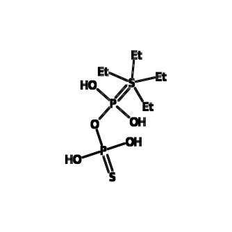 CCS(CC)(CC)(CC)=P(O)(O)OP(O)(O)=S